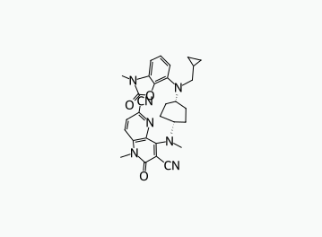 Cn1c(=O)c(C#N)c(N(C)[C@H]2CC[C@@H](N(CC3CC3)c3cccc4c3oc(=O)n4C)CC2)c2nc(C#N)ccc21